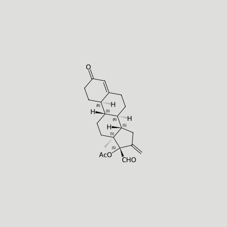 C=C1C[C@H]2[C@@H]3CCC4=CC(=O)CC[C@@H]4[C@H]3CC[C@]2(C)[C@@]1(C=O)OC(C)=O